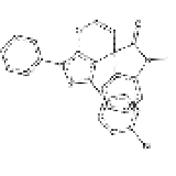 CN1C(=O)[C@@]2(C=COc3c2c(-c2ccc(Br)cc2)nn3-c2ccccc2)c2ccccc21